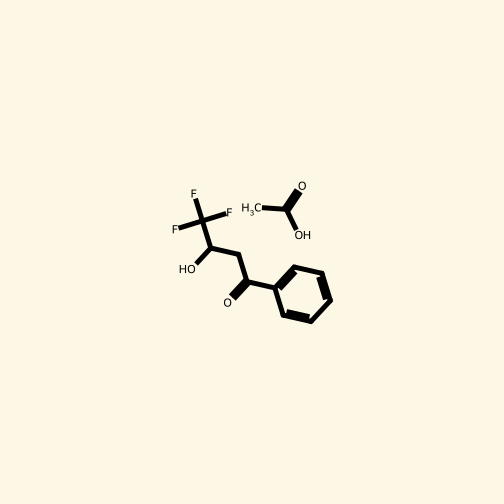 CC(=O)O.O=C(CC(O)C(F)(F)F)c1ccccc1